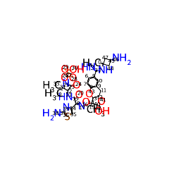 CC1(NC(=N)c2ccc3c(c2)CCC(C(C)(ON=C(C(=O)NC2C(=O)N(OS(=O)(=O)O)C2(C)C)c2csc(N)n2)C(=O)O)O3)CC(N)C1